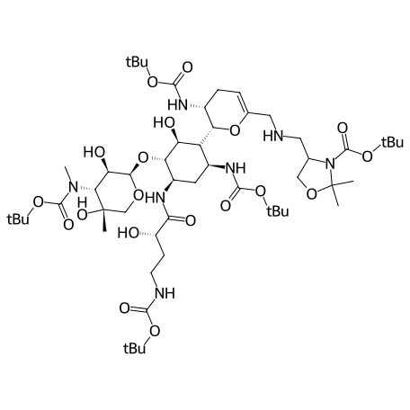 CN(C(=O)OC(C)(C)C)[C@@H]1[C@@H](O)[C@@H](O[C@H]2[C@H](NC(=O)[C@@H](O)CCNC(=O)OC(C)(C)C)C[C@H](NC(=O)OC(C)(C)C)C([C@H]3OC(CNCC4COC(C)(C)N4C(=O)OC(C)(C)C)=CC[C@H]3NC(=O)OC(C)(C)C)[C@@H]2O)OC[C@]1(C)O